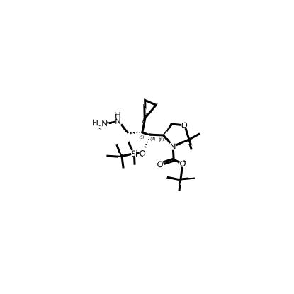 CC(C)(C)OC(=O)N1[C@@H]([C@H](O[Si](C)(C)C(C)(C)C)[C@H](CNN)C2CC2)COC1(C)C